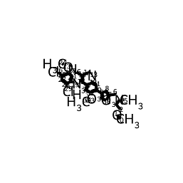 COCCN(C)Cc1cc(-c2cc3ncc(C#N)c(Nc4cc(OC)c(Cl)cc4Cl)c3cc2OC)co1